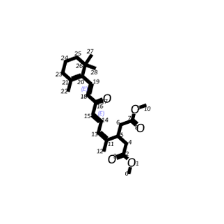 COC(=O)CC(CC(=O)OC)C(C)=C/C=C/C(=O)/C=C/C1=C(C)CCCC1(C)C